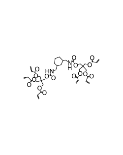 C=CC(=O)OCC(COC(=O)C=C)(COC(=O)C=C)COC(=O)NCC1CCCC(CNC(=O)OCC(COC(=O)C=C)(COC(=O)C=C)COC(=O)C=C)C1